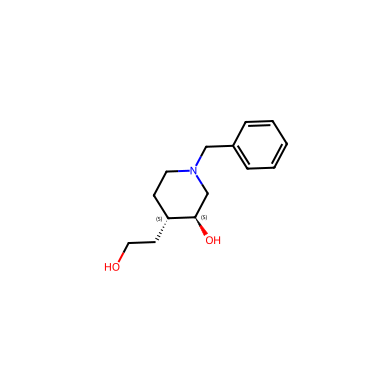 OCC[C@@H]1CCN(Cc2ccccc2)C[C@H]1O